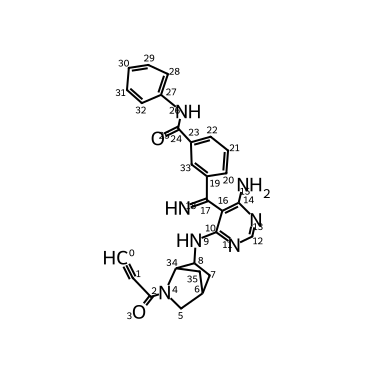 C#CC(=O)N1CC2CC(Nc3ncnc(N)c3C(=N)c3cccc(C(=O)Nc4ccccc4)c3)C1C2